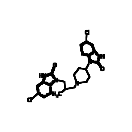 CC(CN1CCC(n2c(=O)[nH]c3cc(Cl)ccc32)CC1)Cn1c(=O)[nH]c2cc(Cl)ccc21